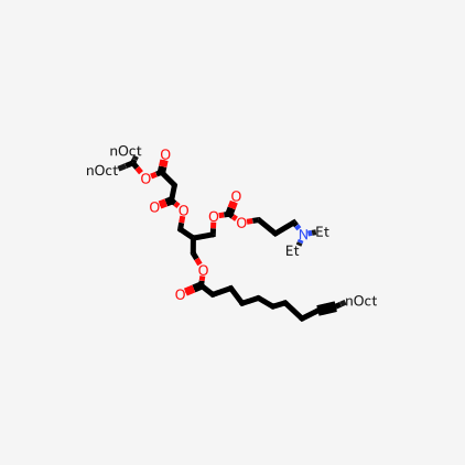 CCCCCCCCC#CCCCCCCCC(=O)OCC(COC(=O)CC(=O)OC(CCCCCCCC)CCCCCCCC)COC(=O)OCCCN(CC)CC